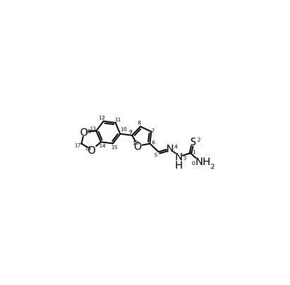 NC(=S)N/N=C/c1ccc(-c2ccc3c(c2)OCO3)o1